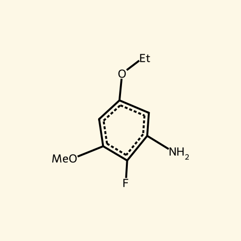 CCOc1cc(N)c(F)c(OC)c1